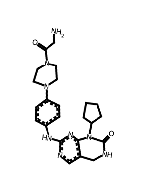 NCC(=O)N1CCN(c2ccc(Nc3ncc4c(n3)N(C3CCCC3)C(=O)NC4)cc2)CC1